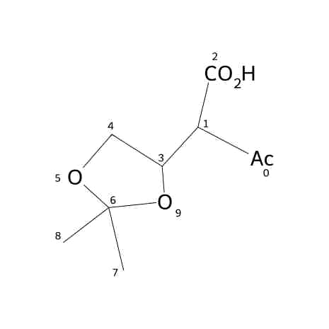 CC(=O)C(C(=O)O)C1COC(C)(C)O1